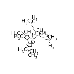 CCC(C)(C)c1cc2c(s1)-c1sc(C(C)(C)CC)cc1C(CCC(C)CCCC(C)C)(CCC(C)CCCC(C)C)O2